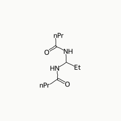 [CH2]CC(NC(=O)CCC)NC(=O)CCC